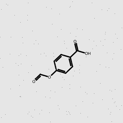 O=[C]Oc1ccc(C(=O)O)cc1